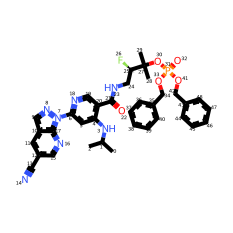 CC(C)Nc1cc(-n2ncc3cc(C#N)cnc32)ncc1C(=O)NC[C@@H](F)C(C)(C)OP(=O)(OCc1ccccc1)OCc1ccccc1